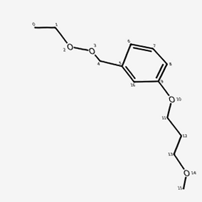 CCOOCc1cccc(OCCCOC)c1